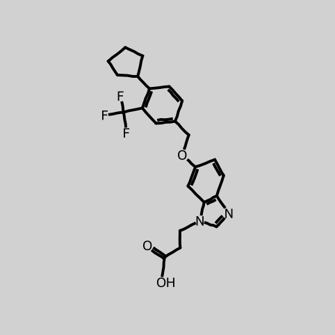 O=C(O)CCn1cnc2ccc(OCc3ccc(C4CCCC4)c(C(F)(F)F)c3)cc21